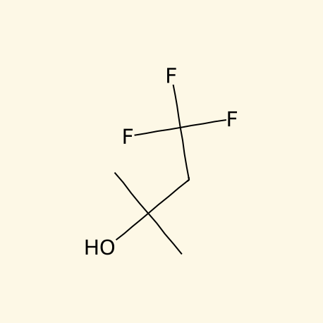 CC(C)(O)CC(F)(F)F